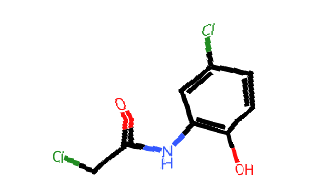 O=C(CCl)Nc1cc(Cl)ccc1O